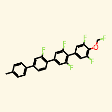 Cc1ccc(-c2ccc(-c3cc(F)c(-c4cc(F)c(OCF)c(F)c4)c(F)c3)c(F)c2)cc1